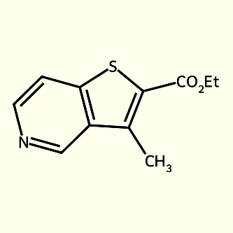 CCOC(=O)c1sc2ccncc2c1C